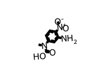 CN(C(=O)O)c1ccc([N+](=O)[O-])c(N)c1